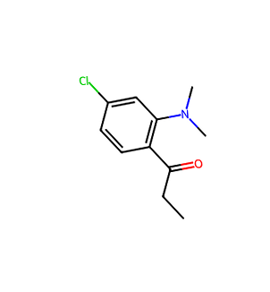 CCC(=O)c1ccc(Cl)cc1N(C)C